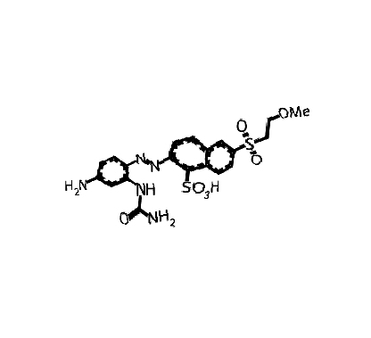 COCCS(=O)(=O)c1ccc2c(S(=O)(=O)O)c(/N=N/c3ccc(N)cc3NC(N)=O)ccc2c1